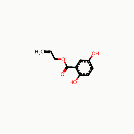 C=CCOC(=O)c1cc(O)ccc1O